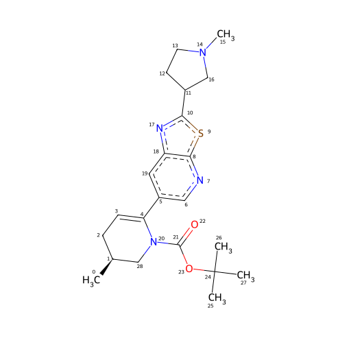 C[C@H]1CC=C(c2cnc3sc(C4CCN(C)C4)nc3c2)N(C(=O)OC(C)(C)C)C1